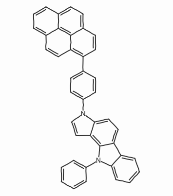 c1ccc(-n2c3ccccc3c3ccc4c(ccn4-c4ccc(-c5ccc6ccc7cccc8ccc5c6c78)cc4)c32)cc1